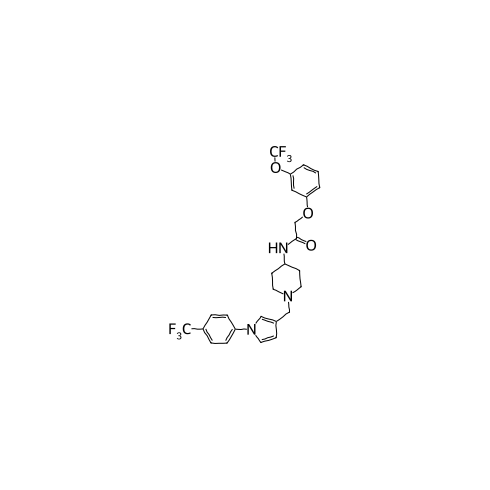 O=C(COc1cccc(OC(F)(F)F)c1)NC1CCN(Cc2ccn(-c3ccc(C(F)(F)F)cc3)c2)CC1